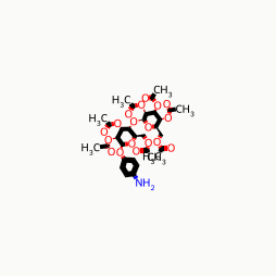 CC(=O)OC[C@H]1O[C@H](O[C@H]2[C@H](OC(C)=O)[C@@H](OC(C)=O)[C@H](Oc3ccc(N)cc3)O[C@@H]2COC(C)=O)[C@H](OC(C)=O)[C@@H](OC(C)=O)[C@@H]1OC(C)=O